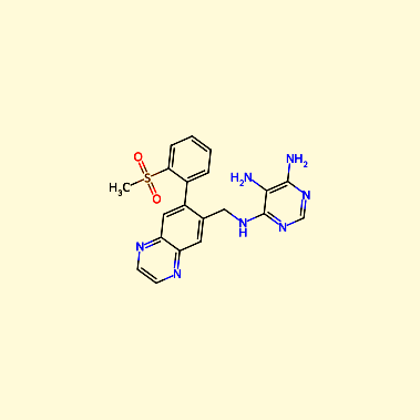 CS(=O)(=O)c1ccccc1-c1cc2nccnc2cc1CNc1ncnc(N)c1N